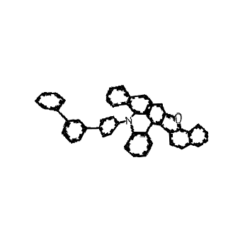 c1ccc(-c2cccc(-c3ccc(N(c4ccccc4-c4cccc5oc6c7ccccc7ccc6c45)c4cccc5ccccc45)cc3)c2)cc1